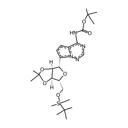 CC(C)(C)OC(=O)Nc1ncnn2c([C@@H]3O[C@H](CO[Si](C)(C)C(C)(C)C)[C@H]4OC(C)(C)O[C@H]43)ccc12